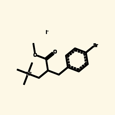 COC(=O)C(Cc1ccc(Br)cc1)C[N+](C)(C)C.[I-]